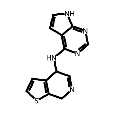 C1=NCc2sccc2C1Nc1ncnc2[nH]ccc12